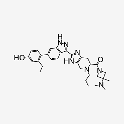 CCCN1Cc2[nH]c(-c3n[nH]c4cc(-c5ccc(O)cc5CC)ccc34)nc2CC1C(=O)N1CC(C)(N(C)C)C1